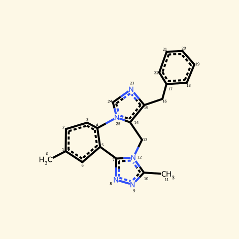 Cc1ccc2c(c1)-c1nnc(C)n1Cc1c(Cc3ccccc3)ncn1-2